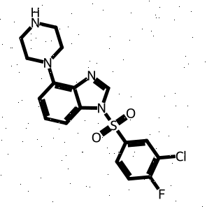 O=S(=O)(c1ccc(F)c(Cl)c1)n1cnc2c(N3CCNCC3)cccc21